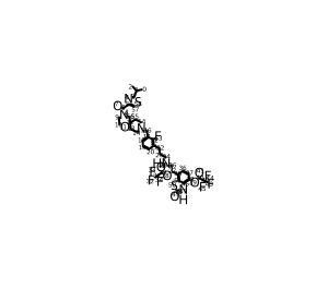 CC(C)c1nc(C(=O)N2CCOC3(CCN(Cc4cccc(CCCNC[C@H](OC(=O)C(F)(F)F)c5ccc(OC(=O)C(F)(F)F)c6[nH]c(=O)sc56)c4F)CC3)C2)cs1